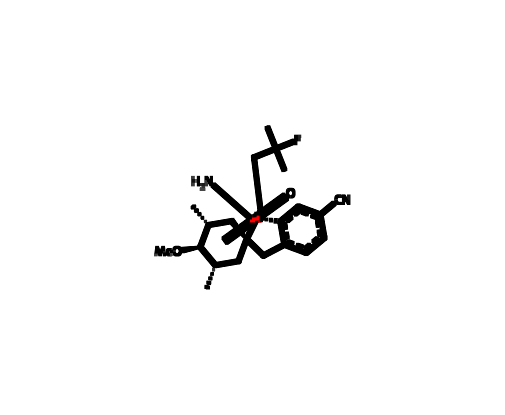 CO[C@H]1[C@H](C)C[C@@]2(Cc3ccc(C#N)cc3[C@]23N=C(N)N(CC(C)(C)F)C3=O)C[C@@H]1C